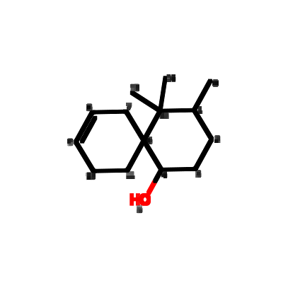 CC1CCC(O)C2(CC=CCC2)C1(C)C